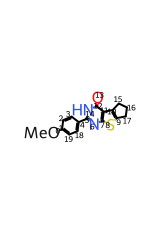 COc1ccc(-c2nc3sc4c(c3c(=O)[nH]2)CCC4)cc1